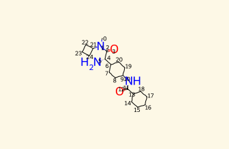 CN(C(=O)[C@@H](N)C1CCC(NC(=O)C2CCCCC2)CC1)C1CCC1